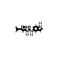 O=C(Nc1ccc2[nH]ccc2c1)Nc1cc(C2CC2)n[nH]1